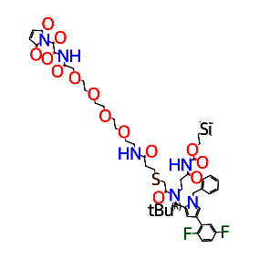 CC(C)(C)[C@H](c1cc(-c2cc(F)ccc2F)cn1Cc1ccccc1)N(CCC(=O)NC(=O)OCC[Si](C)(C)C)C(=O)CSCCC(=O)NCCOCCOCCOCCOCC(=O)NC(=O)C(=O)N1C(=O)C=CC1=O